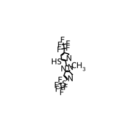 Cn1c(-c2ncc(C(F)(F)C(F)(F)F)cc2S)nc2cc(SC(F)(F)C(F)(F)F)ncc21